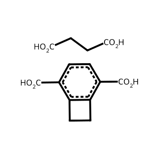 O=C(O)CCC(=O)O.O=C(O)c1ccc(C(=O)O)c2c1CC2